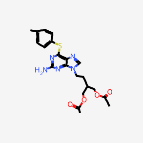 CC(=O)OCC(CCn1cnc2c(Sc3ccc(C)cc3)nc(N)nc21)COC(C)=O